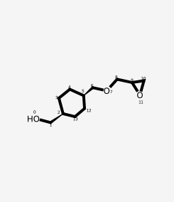 OC[C@H]1CC[C@@H](COCC2CO2)CC1